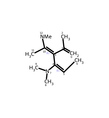 C=C(C)C(/C(=C\C)N(C)C)=C(/C)NC